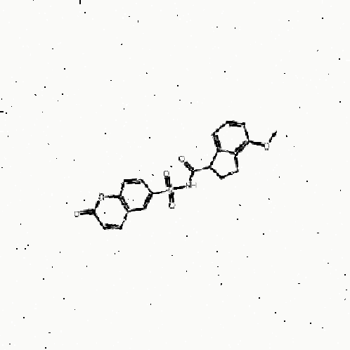 COc1cccc2c1CCC2C(=O)NS(=O)(=O)c1ccc2oc(=O)ccc2c1